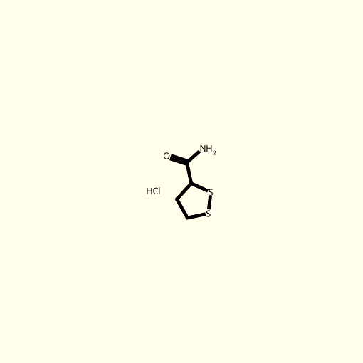 Cl.NC(=O)C1CCSS1